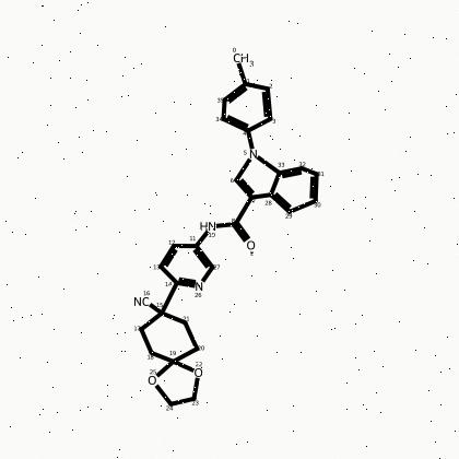 Cc1ccc(-n2cc(C(=O)Nc3ccc(C4(C#N)CCC5(CC4)OCCO5)nc3)c3ccccc32)cc1